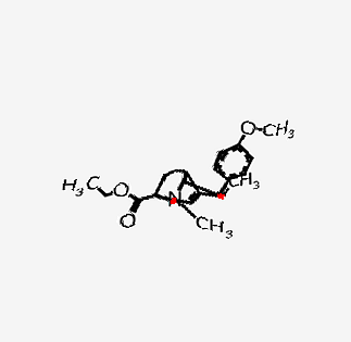 CCOC(=O)C1CC2C(CC)=CC1N(C)C2Cc1ccc(OC)cc1